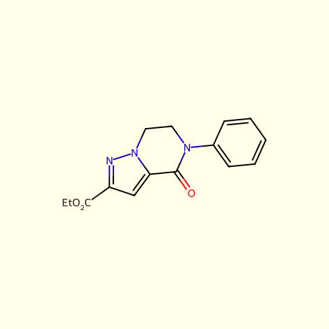 CCOC(=O)c1cc2n(n1)CCN(c1ccccc1)C2=O